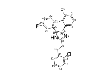 Fc1cccc([C@H]2N=C(CCc3ccccc3Cl)N[C@H]2c2cccc(F)c2)c1